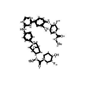 CC(C)(C)OC(=O)N1CC[C@H](O)[C@H](F)C1.CC(C)(C)OC(=O)N1CC[C@H](Oc2ccc(-c3ncnc(Nc4ccc(N5CC6CCC(C5)O6)cc4)n3)cc2C#N)[C@H](F)C1